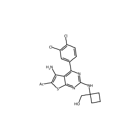 CC(=O)c1sc2nc(NC3(CO)CCC3)nc(-c3ccc(Cl)c(Cl)c3)c2c1N